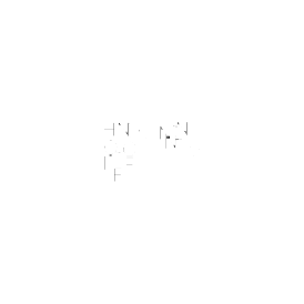 O=C(OC1NCC12CC(n1cnc(C3CC3)n1)C2)C(F)(F)F